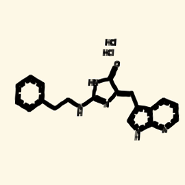 Cl.Cl.O=C1NC(NCCc2ccccc2)=NC1=Cc1c[nH]c2ncccc12